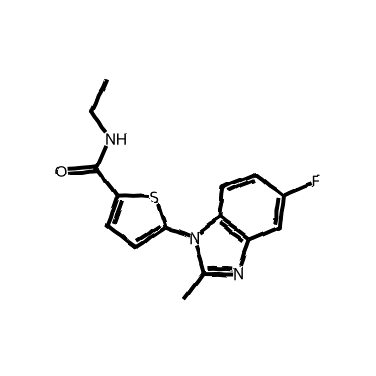 CCNC(=O)c1ccc(-n2c(C)nc3cc(F)ccc32)s1